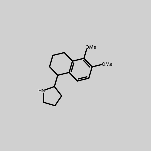 COc1ccc2c(c1OC)CCCC2C1CCCN1